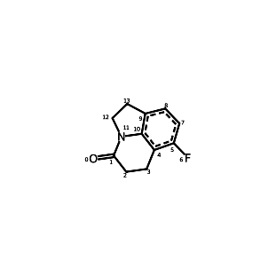 O=C1CCc2c(F)ccc3c2N1CC3